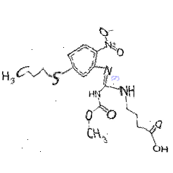 CCCSc1ccc([N+](=O)[O-])c(/N=C(/NCCCC(=O)O)NC(=O)OC)c1